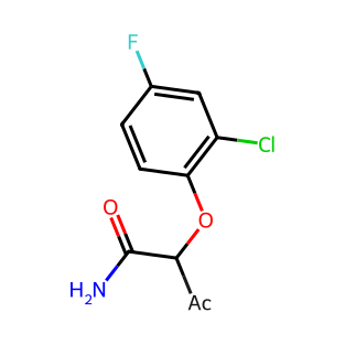 CC(=O)C(Oc1ccc(F)cc1Cl)C(N)=O